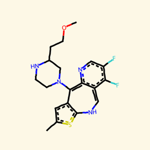 COCCC1CN(C2=c3ncc(F)c(F)c3=CNc3sc(C)cc32)CCN1